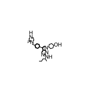 CCCC(C)Nc1ncc2c(-c3ccc(CN4CCNC[C@@H]4C)cc3)cn([C@H]3CC[C@H](O)CC3)c2n1